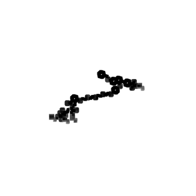 CC(C)(C)OC(=O)CC[C@@H](C(N)=O)N1Cc2c(OCCOCCOCCOCCOc3ccc(Oc4c(-c5ccc(S(C)(=O)=O)cc5)ccc5cc(OCc6ccccc6)ccc45)cc3)cccc2C1=O